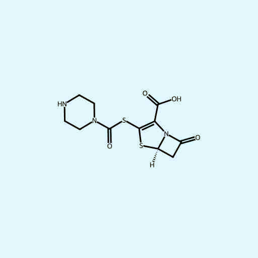 O=C(O)C1=C(SC(=O)N2CCNCC2)S[C@@H]2CC(=O)N12